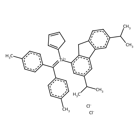 Cc1ccc([C](c2ccc(C)cc2)=[Ti+2]([C]2=CC=CC2)[c]2cc(C(C)C)cc3c2Cc2ccc(C(C)C)cc2-3)cc1.[Cl-].[Cl-]